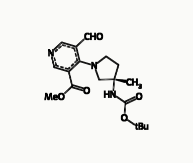 COC(=O)c1cncc(C=O)c1N1CC[C@](C)(NC(=O)OC(C)(C)C)C1